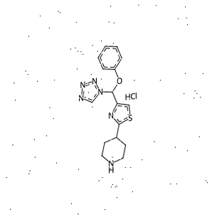 Cl.c1ccc(OC(c2csc(C3CCNCC3)n2)n2cnnn2)cc1